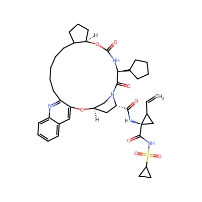 C=CC1C[C@]1(NC(=O)[C@@H]1C[C@@H]2CN1C(=O)[C@H](C1CCCC1)NC(=O)O[C@@H]1CCCC1CCCCCc1nc3ccccc3cc1O2)C(=O)NS(=O)(=O)C1CC1